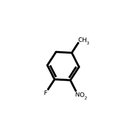 CC1C=C([N+](=O)[O-])C(F)=CC1